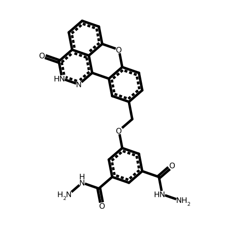 NNC(=O)c1cc(OCc2ccc3c(c2)-c2n[nH]c(=O)c4cccc(c24)O3)cc(C(=O)NN)c1